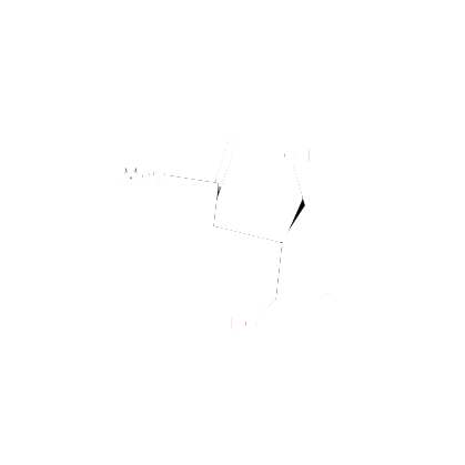 CC[C@H](O)[C@H](CO)CC(=O)OC